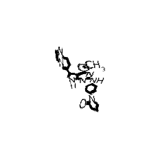 COc1nc(N[C@H]2CC[C@@H](N3CCCC3=O)CC2)nc2[nH]cc(-c3ccc4nccn4c3)c12